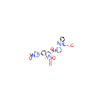 COCCCn1c([C@@H]2CCCN(C(=O)C[C@@H](Cc3ccc(N4CCN(C(C)=O)CC4)cc3)N(C(=O)O)C(C)(C)C)C2)nc2ccccc21